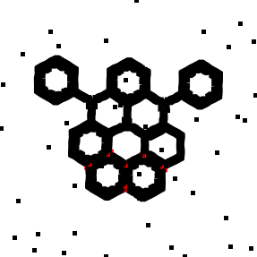 C1=C(c2ccccc2)C2=C(CC1)N(c1ccccc1)c1cccc3c1B2c1c(-c2ccccc2)cccc1N3c1ccccc1